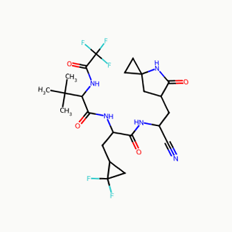 CC(C)(C)C(NC(=O)C(F)(F)F)C(=O)NC(CC1CC1(F)F)C(=O)NC(C#N)CC1CC2(CC2)NC1=O